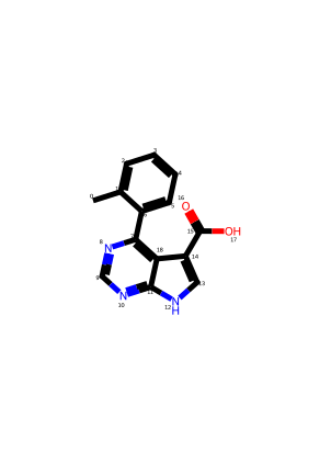 Cc1ccccc1-c1ncnc2[nH]cc(C(=O)O)c12